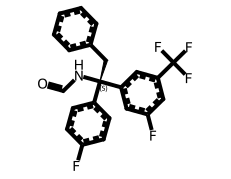 O=CN[C@@](Cc1ccccc1)(c1ccc(F)cc1)c1cc(F)cc(C(F)(F)F)c1